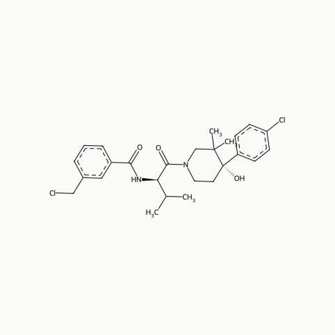 CC(C)[C@@H](NC(=O)c1cccc(CCl)c1)C(=O)N1CC[C@](O)(c2ccc(Cl)cc2)C(C)(C)C1